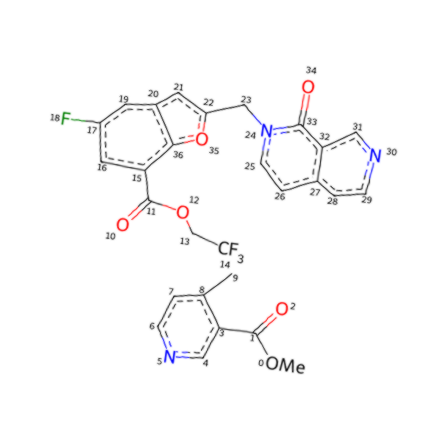 COC(=O)c1cnccc1C.O=C(OCC(F)(F)F)c1cc(F)cc2cc(Cn3ccc4ccncc4c3=O)oc12